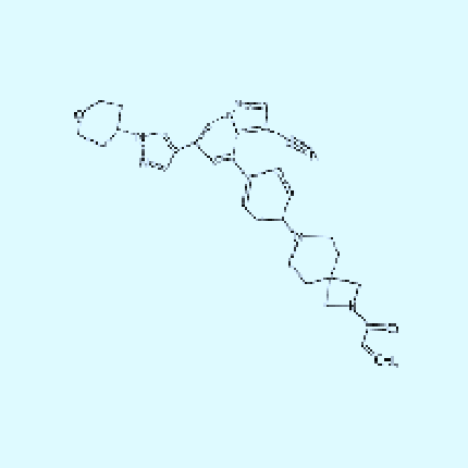 C=CC(=O)N1CC2(CCN(c3ccc(-c4cc(-c5cnn(C6CCOCC6)c5)cn5ncc(C#N)c45)cc3)CC2)C1